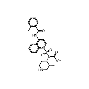 CCCC(=O)N([C@H]1CCNC[C@@H]1C)S(=O)(=O)c1ccc(NC(=O)c2ccccc2C)c2ccccc12